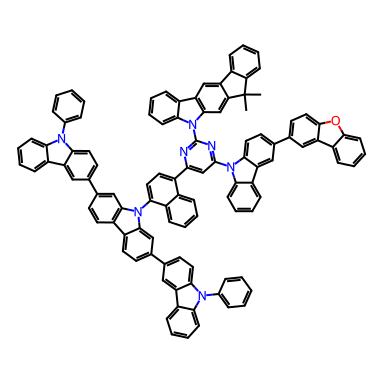 CC1(C)c2ccccc2-c2cc3c4ccccc4n(-c4nc(-c5ccc(-n6c7cc(-c8ccc9c(c8)c8ccccc8n9-c8ccccc8)ccc7c7ccc(-c8ccc9c(c8)c8ccccc8n9-c8ccccc8)cc76)c6ccccc56)cc(-n5c6ccccc6c6cc(-c7ccc8oc9ccccc9c8c7)ccc65)n4)c3cc21